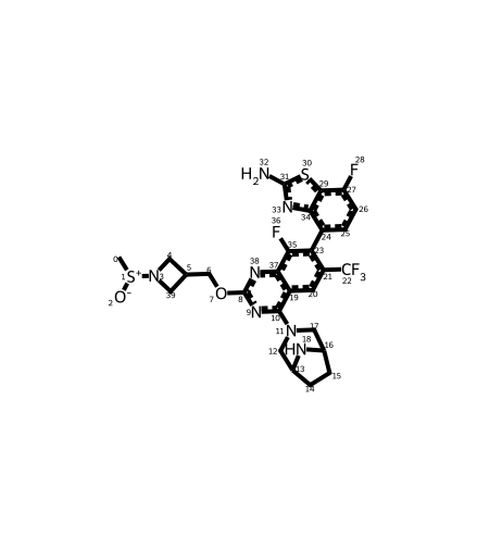 C[S+]([O-])N1CC(COc2nc(N3CC4CCC(C3)N4)c3cc(C(F)(F)F)c(-c4ccc(F)c5sc(N)nc45)c(F)c3n2)C1